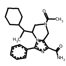 CC(=O)N1Cc2c(C(N)=O)nc(-c3ccccc3)n2C(C(C)C2CCCCC2)C1